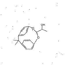 CC(O)C1Oc2ccc(cc2)C(C)(C)c2ccc(cc2)O1